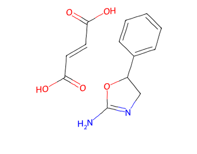 NC1=NCC(c2ccccc2)O1.O=C(O)/C=C/C(=O)O